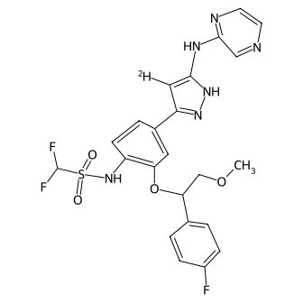 [2H]c1c(-c2ccc(NS(=O)(=O)C(F)F)c(OC(COC)c3ccc(F)cc3)c2)n[nH]c1Nc1cnccn1